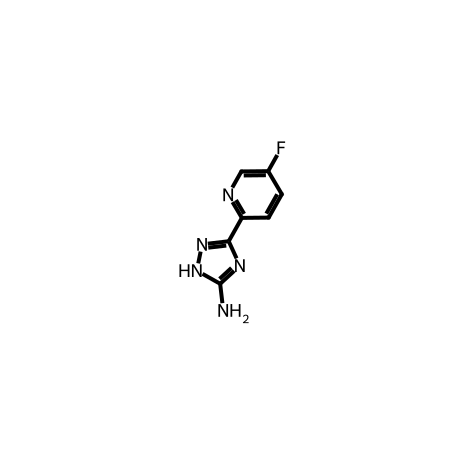 Nc1nc(-c2ccc(F)cn2)n[nH]1